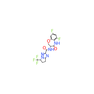 O=C(N[C@H]1COc2cc(F)cc(F)c2NC1=O)c1nc2n(n1)C(C(F)(F)F)CC2